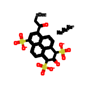 CCCCCCCCCCCC(=O)c1cc(S(=O)(=O)[O-])c2ccc3c4c(ccc1c24)C(S(=O)(=O)[O-])C(=O)C=3S(=O)(=O)[O-].[Na+].[Na+].[Na+]